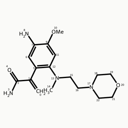 C=C(C(N)=O)c1cc(N)c(OC)cc1N(C)CCN1CCOCC1